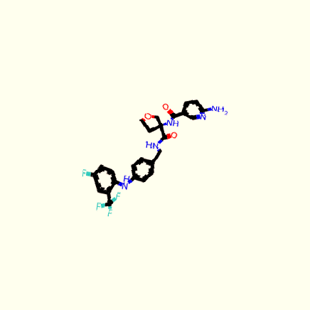 Nc1ccc(C(=O)N[C@@]2(C(=O)NCc3ccc(Nc4ccc(F)cc4C(F)(F)F)cc3)CCOC2)cn1